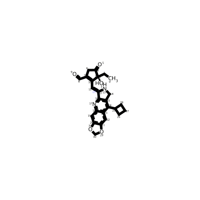 CC[C@@]1(O)C(=O)CC(C=O)=C1/C=C1\NCc2c1nc1cc3c(cc1c2C1CCC1)OCO3